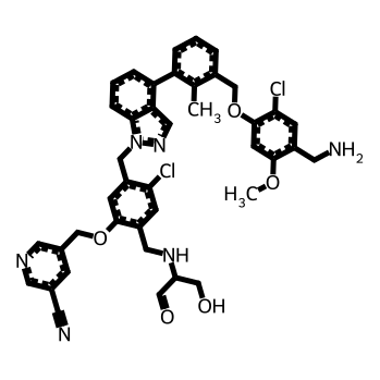 COc1cc(OCc2cccc(-c3cccc4c3cnn4Cc3cc(OCc4cncc(C#N)c4)c(CNC(C=O)CO)cc3Cl)c2C)c(Cl)cc1CN